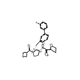 O=C(N[C@@H]1CCN(C(=O)C2CCC2)[C@@H]1Cc1cccc(-c2cccc(F)c2)c1)C1CCO1